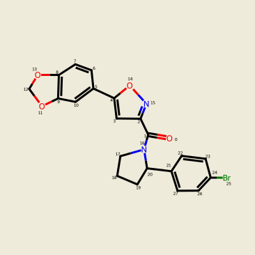 O=C(c1cc(-c2ccc3c(c2)OCO3)on1)N1CCCC1c1ccc(Br)cc1